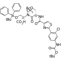 CC(=O)OC[C@H](NC(=O)c1csc(-c2ccc(NC(=O)OC(C)(C)C)cc2Cl)n1)C(=O)N(C)[C@@H](CO[Si](c1ccccc1)(c1ccccc1)C(C)(C)C)C(=O)O